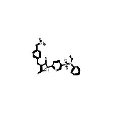 CCN(c1ccccc1)S(=O)(=O)c1ccc(-n2[nH]c(C)c(Cc3ccc(C[SH](=O)=O)cc3)c2=O)nc1